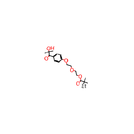 CCC(C)(C)C(=O)OCCOCCOc1ccc(C(=O)C(C)(C)O)cc1